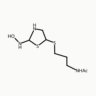 CC(=O)NCCCSC1CNC(NO)S1